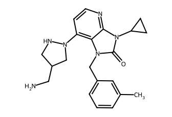 Cc1cccc(Cn2c(=O)n(C3CC3)c3nccc(N4CC(CN)CN4)c32)c1